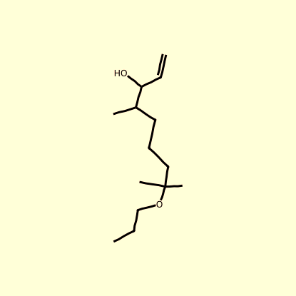 C=CC(O)C(C)CCCC(C)(C)OCCC